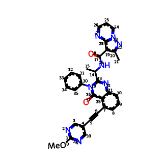 COc1ncc(C#Cc2cccc3nc(C(C)NC(=O)c4c(C)nn5cccnc45)n(-c4ccccc4)c(=O)c23)cn1